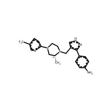 C[C@@H]1CN(c2ccc(C(F)(F)F)cn2)CCN1Cc1c[nH]nc1-c1ccc(N)cc1